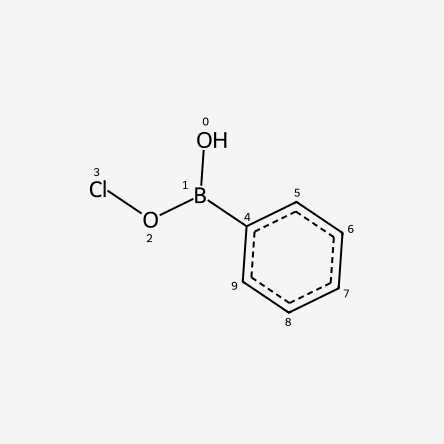 OB(OCl)c1ccccc1